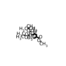 CCOC(=O)c1cnc(N(C(=O)OC(C)(C)C)C(=O)OC(C)(C)C)c(Br)c1